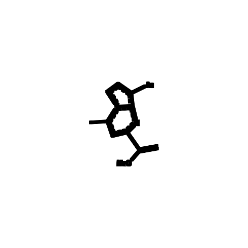 C=C(OC)c1cc(C)n2ccc(C(C)=O)c2n1